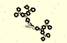 OC(COc1ccc(-n2c3ccc(N(c4ccccc4)c4ccccc4)cc3c3cc(N(c4ccccc4)c4ccccc4)ccc32)cc1)COc1ccc(-n2c3ccc(N(c4ccccc4)c4ccccc4)cc3c3cc(N(c4ccccc4)c4ccccc4)ccc32)cc1